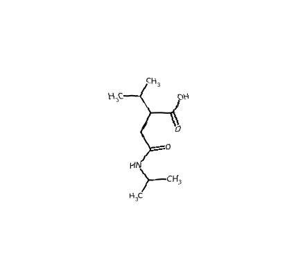 CC(C)NC(=O)CC(C(=O)O)C(C)C